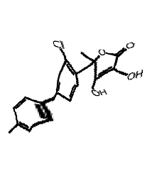 Cc1ccc(-c2ccc(C3(C)OC(=O)C(O)=C3O)c(Cl)c2)cc1